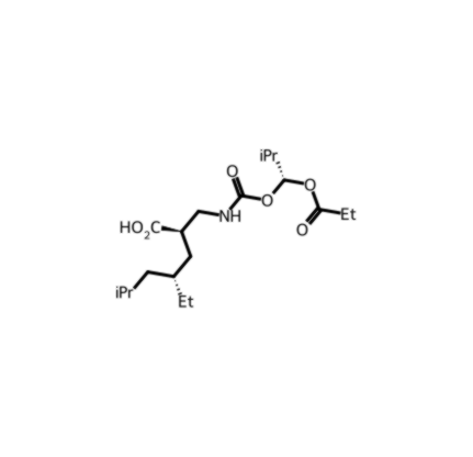 CCC(=O)O[C@H](OC(=O)NC[C@@H](C[C@H](CC)CC(C)C)C(=O)O)C(C)C